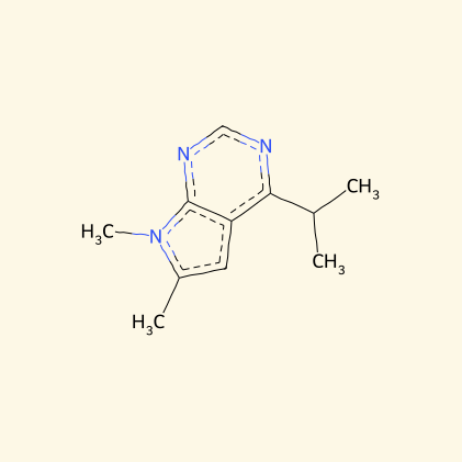 Cc1cc2c(C(C)C)ncnc2n1C